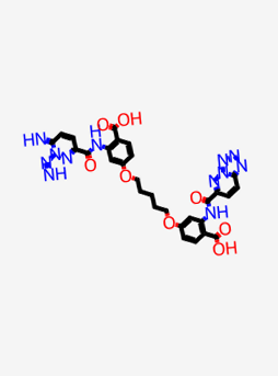 N=Nn1nc(C(=O)Nc2cc(OCCCCCOc3ccc(C(=O)O)c(NC(=O)c4ccc5nnnn5n4)c3)ccc2C(=O)O)ccc1=N